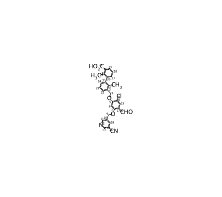 Cc1c(COc2cc(OCc3cncc(C#N)c3)c(C=O)cc2Cl)cccc1-c1cccc(C(=O)O)c1C